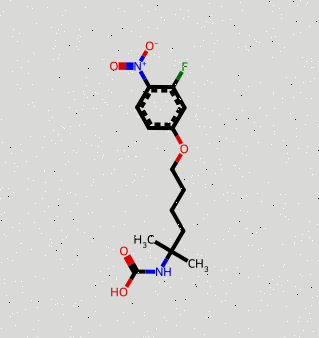 CC(C)(CCCCOc1ccc([N+](=O)[O-])c(F)c1)NC(=O)O